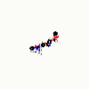 Cc1c(C(=O)Nc2ccc(Oc3ccnc4cc(OCC(C)(C)OS(=O)(=O)c5ccccc5)ccc34)c(F)c2)c(=O)n(-c2ccccc2)n1C